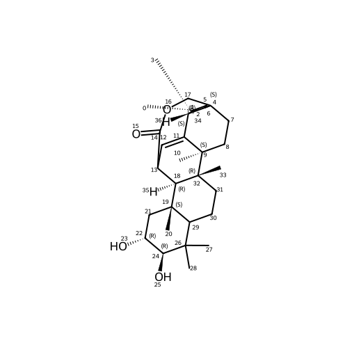 C[C@H]1[C@H](C)CC[C@@]23CC[C@]4(C)C(=CC(C(=O)OC2)[C@@H]2[C@@]5(C)C[C@@H](O)[C@H](O)C(C)(C)C5CC[C@]24C)[C@H]13